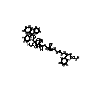 CC(C)(COC(c1ccccc1)(c1ccccc1)c1ccccc1)C(O)C(=O)NCCC(=O)NCCSCCC(CC(=O)O)c1ccccc1